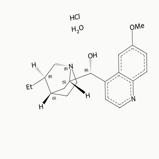 CC[C@H]1C[N@]2CC[C@H]1C[C@H]2[C@H](O)c1ccnc2ccc(OC)cc12.Cl.O